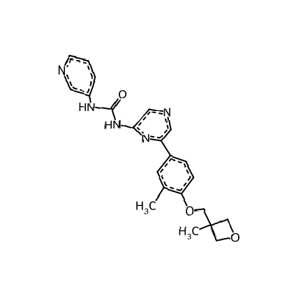 Cc1cc(-c2cncc(NC(=O)Nc3cccnc3)n2)ccc1OCC1(C)COC1